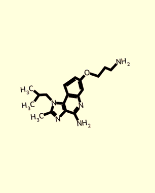 Cc1nc2c(N)nc3cc(OCCCN)ccc3c2n1CC(C)C